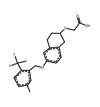 Cc1ccc(C(F)(F)F)c(COc2ccc3c(c2)CCC(OCC(=O)O)C3)c1